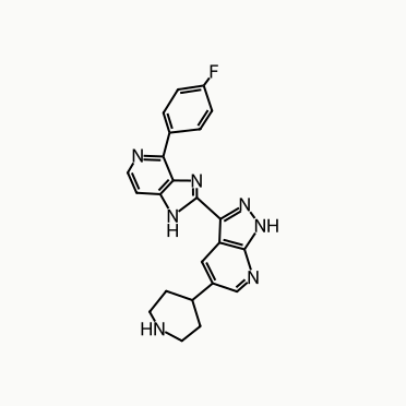 Fc1ccc(-c2nccc3[nH]c(-c4n[nH]c5ncc(C6CCNCC6)cc45)nc23)cc1